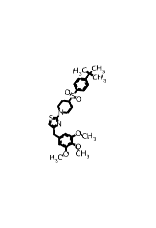 COc1cc(Cc2csc(N3CCC(S(=O)(=O)c4ccc(C(C)(C)C)cc4)CC3)n2)cc(OC)c1OC